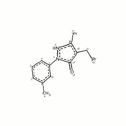 Cc1cccc(-n2[nH]c(C(C)C)c(CC(C)C)c2=O)c1